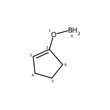 BOC1=CCCC1